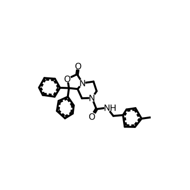 Cc1ccc(CNC(=O)N2CCN3C(=O)OC(c4ccccc4)(c4ccccc4)C3C2)cc1